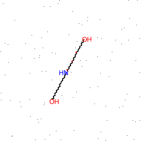 OCCCCCCCCCCCCCCCCCCCCCCNCCCCCCCCCCCCCCCCCCO